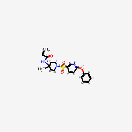 C=CC(=O)NC1(C)CCN(S(=O)(=O)c2ccc(Oc3ccccc3)nc2)CC1